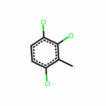 [CH2]c1c(Cl)ccc(Cl)c1Cl